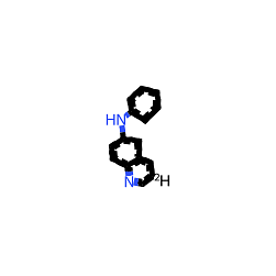 [2H]c1cnc2ccc(Nc3ccccc3)cc2c1